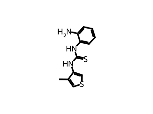 Cc1cscc1NC(=S)Nc1ccccc1N